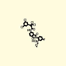 COCN(O)c1cc(F)ccc1NC(=O)c1cc(NC(=O)C2C(c3cc(Cl)cc(Cl)c3)C2(Cl)Cl)ccc1Cl